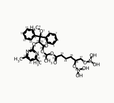 COC(c1ccccc1)(c1ccccc1)[C@H](Oc1nc(C)cc(C)n1)C(=O)OC(C)OC(=O)CCCC(CON(O)O)ON(O)O